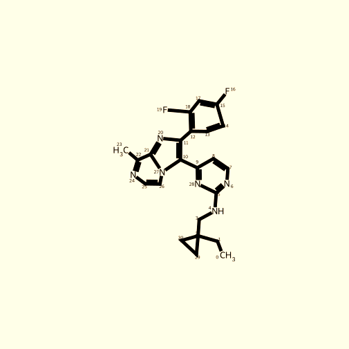 CCC1(CNc2nccc(-c3c(-c4ccc(F)cc4F)nc4c(C)nccn34)n2)CC1